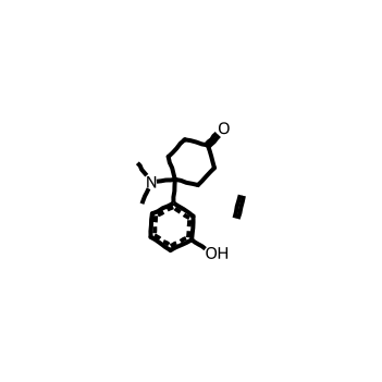 C=C.CN(C)C1(c2cccc(O)c2)CCC(=O)CC1